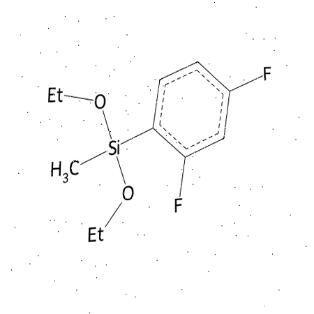 CCO[Si](C)(OCC)c1ccc(F)cc1F